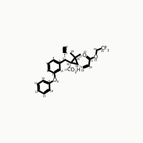 C#C[C@@H](c1cccc(Oc2ccccc2)c1)[C@]1(C(=O)O)[C@@H](/C=C\C(=O)OCC(F)(F)F)C1(C)C